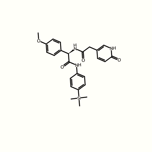 COc1ccc([C@@H](NC(=O)Cc2ccc(=O)[nH]c2)C(=O)Nc2ccc([Si](C)(C)C)cc2)cc1